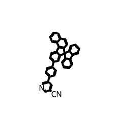 N#Cc1cncc(-c2ccc(-c3ccc4c(c3)C3(c5ccccc5-c5ccccc53)c3ccc5ccccc5c3-4)cc2)c1